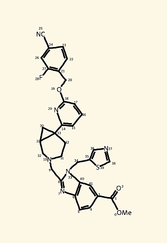 COC(=O)c1ccc2nc(CN3CCC4(c5cccc(OCc6ccc(C#N)cc6F)n5)CC4C3)n(Cc3cncs3)c2c1